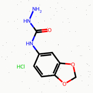 Cl.NNC(=O)Nc1ccc2c(c1)OCO2